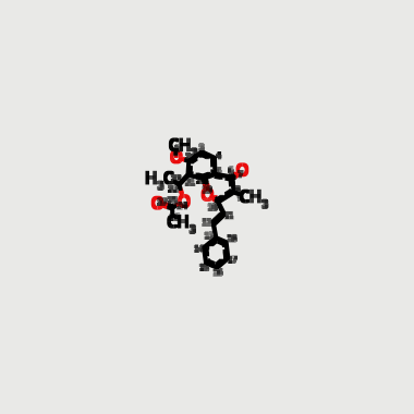 COc1ccc2c(=O)c(C)c(C=Cc3ccccc3)oc2c1C(C)OC(C)=O